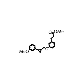 COC(=O)CCc1cccc(OCC2CC2c2cccc(OC)c2)c1